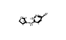 Brc1ccc(N[C@H]2CCOC2)nn1